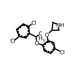 CC(Oc1ccc(Cl)cc1OC1CNC1)c1cc(Cl)ccc1Cl